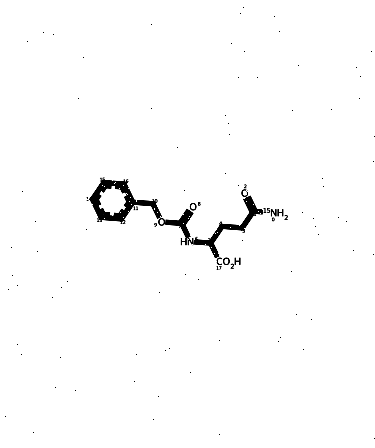 [15NH2]C(=O)CCC(NC(=O)OCc1ccccc1)C(=O)O